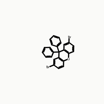 Brc1ccc2c(c1)C(c1ccccc1)(c1ccccc1)c1cc(Br)ccc1O2